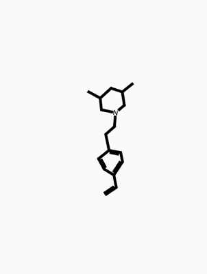 C=Cc1ccc(CCN2CC(C)CC(C)C2)cc1